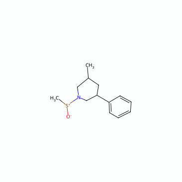 CC1CC(c2ccccc2)CN([S+](C)[O-])C1